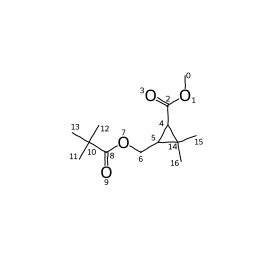 COC(=O)C1C(COC(=O)C(C)(C)C)C1(C)C